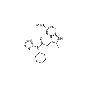 COc1ccc2[nH]c(C)c(CC(=O)N(c3nccs3)C3CCCCC3)c2c1